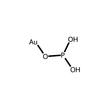 OP(O)[O][Au]